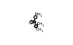 Cc1ccc(-n2cc(C3CCC(N)CC3)c3ccncc32)c(C)c1